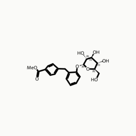 COC(=O)c1ccc(Cc2ccccc2O[C@H]2O[C@H](CO)[C@@H](O)[C@H](O)[C@H]2O)cc1